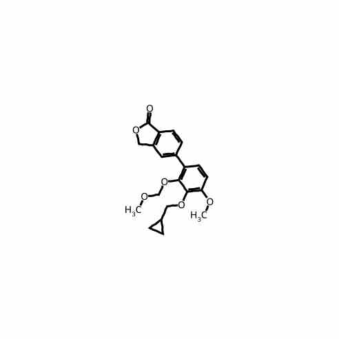 COCOc1c(-c2ccc3c(c2)COC3=O)ccc(OC)c1OCC1CC1